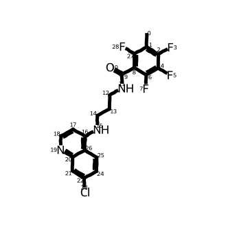 Cc1c(F)c(F)c(F)c(C(=O)NCCCNc2ccnc3cc(Cl)ccc23)c1F